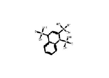 [O-][N+](O)(O)C1=CC([N+]([O-])(O)O)c2ccccc2N1[N+]([O-])(O)O